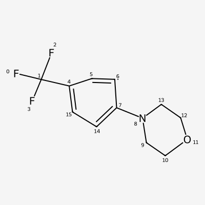 FC(F)(F)c1c[c]c(N2CCOCC2)cc1